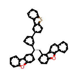 c1cc(-c2ccc3sc4ccccc4c3c2)cc([C@H](Cc2cccc3oc4c5ccccc5ccc4c23)c2ccc3oc4ccccc4c3c2)c1